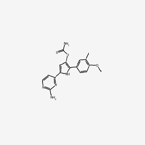 COc1ccc(-c2[nH]c(-c3ccnc(N)n3)cc2OC(N)=O)cc1C